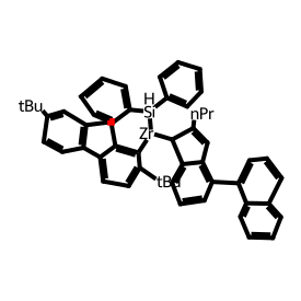 CCCC1=Cc2c(-c3cccc4ccccc34)cccc2[CH]1[Zr]([c]1c(C(C)(C)C)ccc2c1Cc1cc(C(C)(C)C)ccc1-2)[SiH](c1ccccc1)c1ccccc1